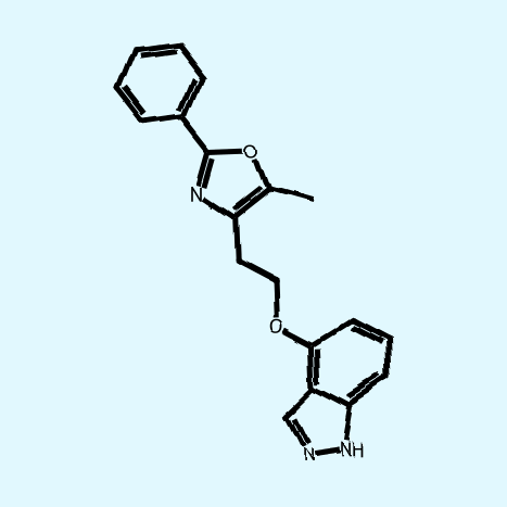 Cc1oc(-c2ccccc2)nc1CCOc1cccc2[nH]ncc12